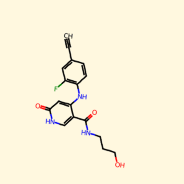 C#Cc1ccc(Nc2cc(=O)[nH]cc2C(=O)NCCCO)c(F)c1